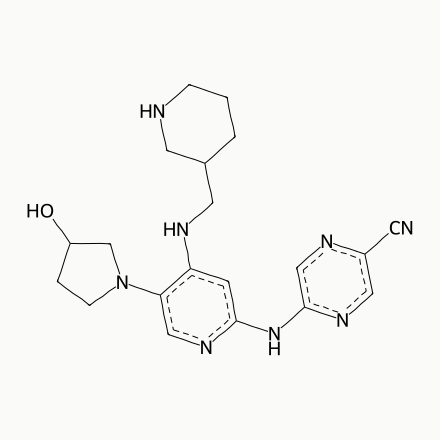 N#Cc1cnc(Nc2cc(NCC3CCCNC3)c(N3CCC(O)C3)cn2)cn1